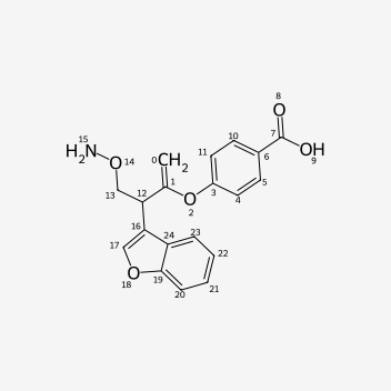 C=C(Oc1ccc(C(=O)O)cc1)C(CON)c1coc2ccccc12